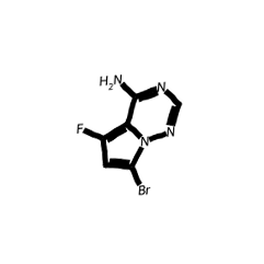 Nc1ncnn2c(Br)cc(F)c12